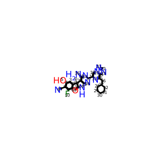 C[C@@]1(c2cc(O)c(C#N)c(F)c2)C(=O)Nc2nc(-c3cn4ncnc4c(CC4CCCCC4)n3)nc(N)c21